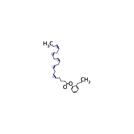 C=CCc1ccccc1OC(=O)CCC/C=C\C/C=C\C/C=C\C/C=C\C/C=C\CC